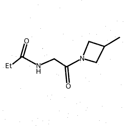 CCC(=O)NCC(=O)N1CC(C)C1